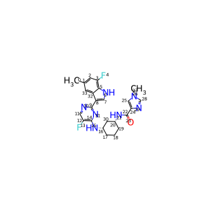 Cc1cc(F)c2[nH]cc(-c3ncc(F)c(N[C@H]4CCC[C@@H](NC(=O)c5cn(C)cn5)C4)n3)c2c1